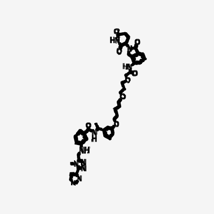 CC(NC(=O)c1cccc(NCc2nnc(-c3ccncn3)n2C)c1)c1cccc(OCCCCCOCCCOCC(=O)Nc2cccc3c2CN(C2CCC(=O)NC2=O)C3=O)c1